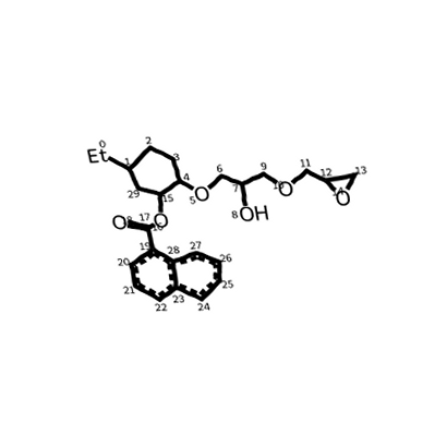 CCC1CCC(OCC(O)COCC2CO2)C(OC(=O)c2cccc3ccccc23)C1